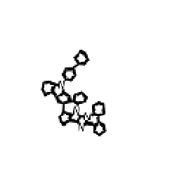 c1ccc(-c2ccc(-n3c4ccccc4c4cc(-c5cccc6c7nc8c9ccccc9c9ccccc9n8c7n(-c7ccccc7)c56)ccc43)cc2)cc1